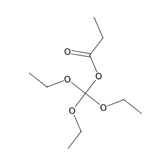 CCOC(OCC)(OCC)OC(=O)CC